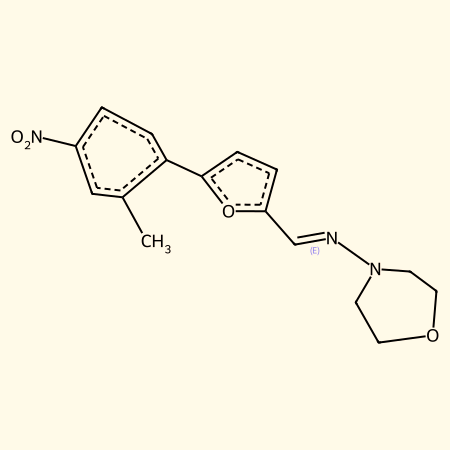 Cc1cc([N+](=O)[O-])ccc1-c1ccc(/C=N/N2CCOCC2)o1